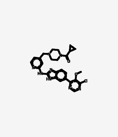 COc1c(Cl)ncnc1-c1ccc2nc(Nc3cc(CN4CCN(C(=O)C5CC5)CC4)ccn3)[nH]c2c1